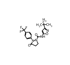 CC(C)(C)c1cc(NC(=O)N2CCC(=O)N2c2ccc(C(F)(F)F)cc2)on1